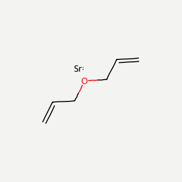 C=CCOCC=C.[Sr]